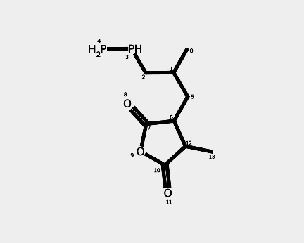 CC(CPP)CC1C(=O)OC(=O)C1C